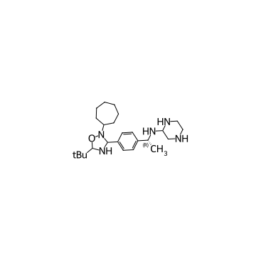 C[C@@H](NC1CNCCN1)c1ccc(C2NC(C(C)(C)C)ON2C2CCCCCC2)cc1